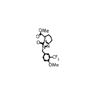 COC(=O)C1CCCc2nn(Cc3ccc(OC)c(C(F)(F)F)c3)c(=O)n21